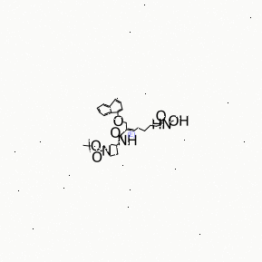 CC(C)(C)OC(=O)N1CCC(NC(=O)/C(=C/CCCCC(=O)NO)COc2cccc3ccccc23)C1